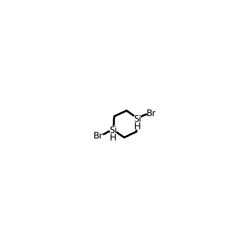 Br[SiH]1CC[SiH](Br)CC1